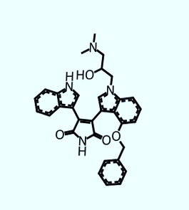 CN(C)CC(O)Cn1cc(C2=C(c3c[nH]c4ccccc34)C(=O)NC2=O)c2c(OCc3ccccc3)cccc21